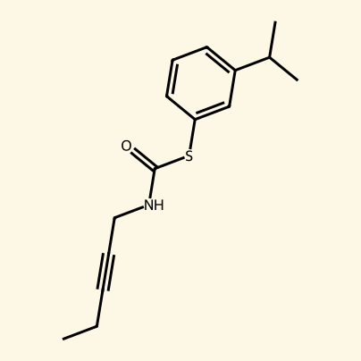 CCC#CCNC(=O)Sc1cccc(C(C)C)c1